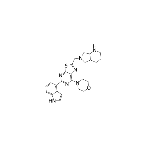 c1cc(-c2nc(N3CCOCC3)c3nc(CN4CC5CCCNC5C4)sc3n2)c2cc[nH]c2c1